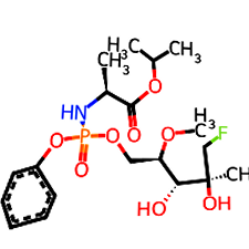 CO[C@H](CO[P@@](=O)(N[C@@H](C)C(=O)OC(C)C)Oc1ccccc1)[C@@H](O)[C@](C)(O)CF